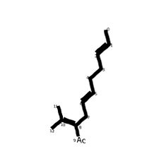 CC=CCCC=CCC(C(C)=O)=C(C)C